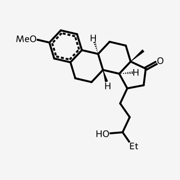 CCC(O)CCC1CC(=O)[C@@]2(C)CC[C@@H]3c4ccc(OC)cc4CC[C@H]3[C@H]12